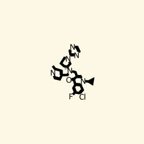 Cc1cc(CN(Cc2cn(C3CC3)c3cc(Cl)c(F)cc3c2=O)[C@H]2CCCN(c3cnccn3)C2)ccn1